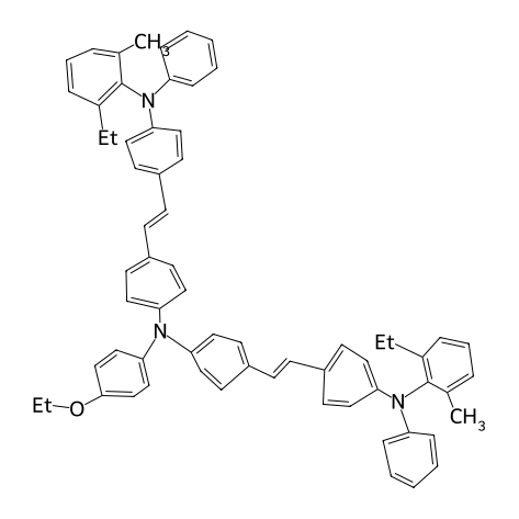 CCOc1ccc(N(c2ccc(/C=C/c3ccc(N(c4ccccc4)c4c(C)cccc4CC)cc3)cc2)c2ccc(/C=C/c3ccc(N(c4ccccc4)c4c(C)cccc4CC)cc3)cc2)cc1